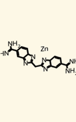 N=C(N)C1=CC2=NC(CC3=NC4C=CC(C(=N)N)=CC4=N3)=NC2C=C1.[Zn]